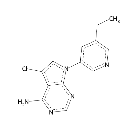 CCc1cncc(-n2cc(Cl)c3c(N)ncnc32)c1